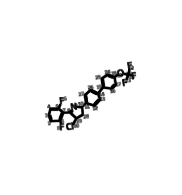 Fc1cccc(F)c1C1=N[C@@H](c2ccc(-c3ccc(OC(F)(F)F)cc3)cc2)CC1Cl